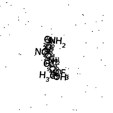 C[C@](O)(c1ccc(C(=O)N(C2CC2)[C@H]2CC[C@](C#N)(c3ccc(C(N)=O)cc3)CC2)cc1)C(F)(F)F